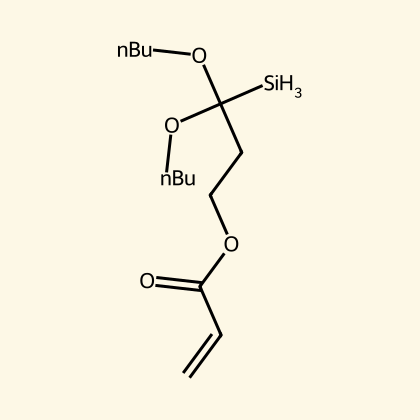 C=CC(=O)OCCC([SiH3])(OCCCC)OCCCC